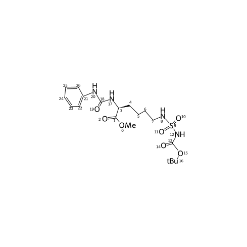 COC(=O)[C@H](CCCCNS(=O)(=O)NC(=O)OC(C)(C)C)NC(=O)Nc1ccccc1